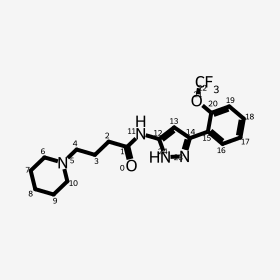 O=C(CCCN1CCCCC1)Nc1cc(-c2ccccc2OC(F)(F)F)n[nH]1